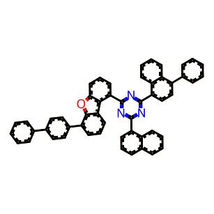 c1ccc(-c2ccc(-c3cccc4c3oc3cccc(-c5nc(-c6cccc7ccccc67)nc(-c6ccc(-c7ccccc7)c7ccccc67)n5)c34)cc2)cc1